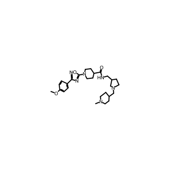 COc1ccc(-c2noc(N3CCC(C(=O)NCC4CCN(CC5CCN(C)CC5)C4)CC3)n2)cc1